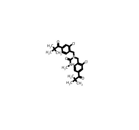 CNC(=O)N(Cc1ccc(C(=O)C(C)(C)C)cc1Cl)Cc1ccc(C(=O)C(C)(C)C)cc1Cl